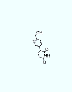 O=C1CCC(c2ccc(CO)nc2)C(=O)N1